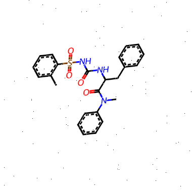 Cc1ccccc1S(=O)(=O)NC(=O)NC(Cc1ccccc1)C(=O)N(C)c1ccccc1